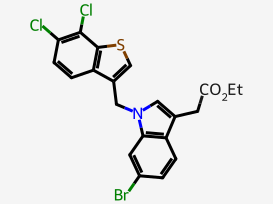 CCOC(=O)Cc1cn(Cc2csc3c(Cl)c(Cl)ccc23)c2cc(Br)ccc12